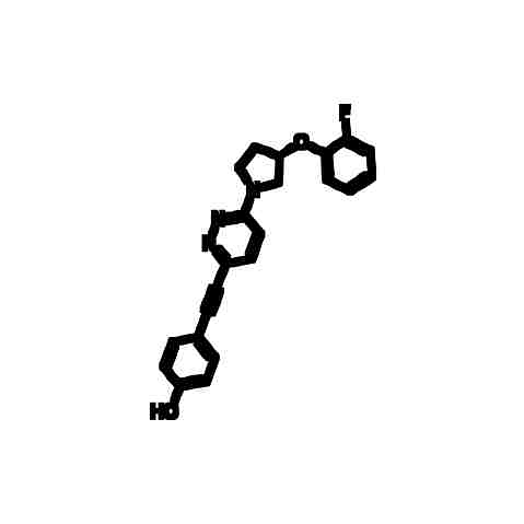 Oc1ccc(C#Cc2ccc(N3CC[C@@H](Oc4ccccc4F)C3)nn2)cc1